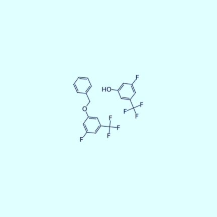 Fc1cc(OCc2ccccc2)cc(C(F)(F)F)c1.Oc1cc(F)cc(C(F)(F)F)c1